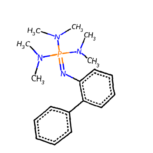 CN(C)P(=Nc1ccccc1-c1ccccc1)(N(C)C)N(C)C